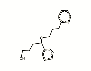 OCCCC(OCCCc1ccccc1)c1ccccc1